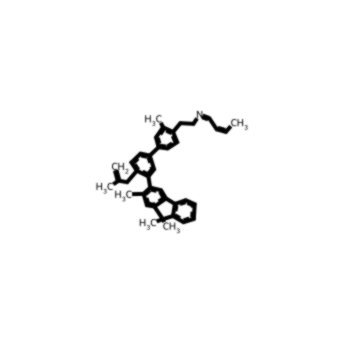 C=C(C)Cc1ccc(-c2ccc(CC/N=C\C=C/C)c(C)c2)cc1-c1cc2c(cc1C)C(C)(C)c1ccccc1-2